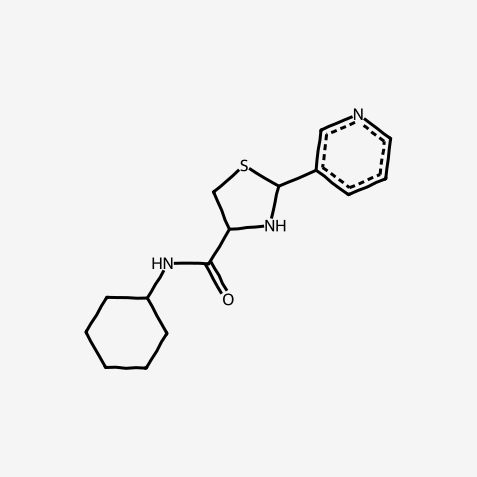 O=C(NC1CCCCC1)C1CSC(c2cccnc2)N1